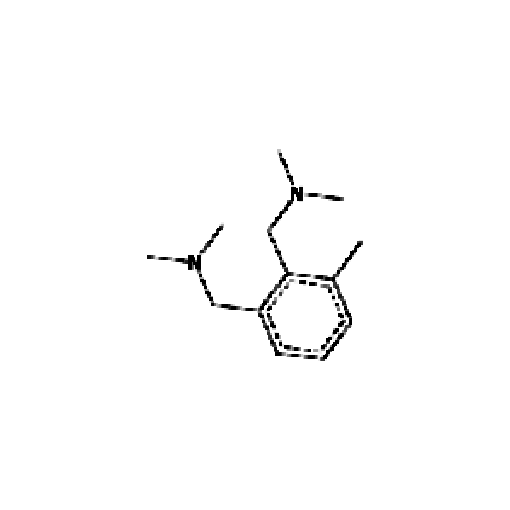 Cc1cccc(CN(C)C)c1CN(C)C